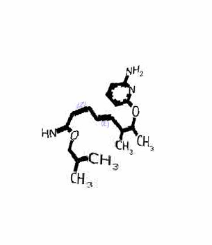 CC(C)COC(=N)/C=C\C=C\C(C)C(C)Oc1cccc(N)n1